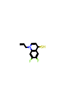 C=CCN1C=CC(S)c2cc(F)c(F)cc21